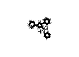 O=C(Nc1ccccc1)C1CC(c2cccnc2)CC1c1ccccc1